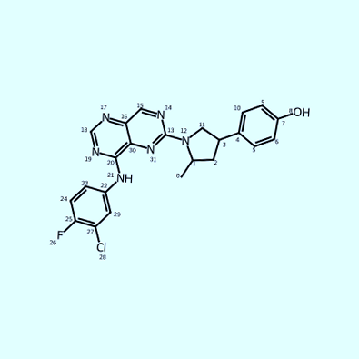 CC1CC(c2ccc(O)cc2)CN1c1ncc2ncnc(Nc3ccc(F)c(Cl)c3)c2n1